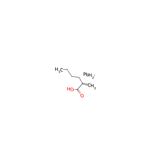 C=C(CCCC)C(=O)O.[PbH2]